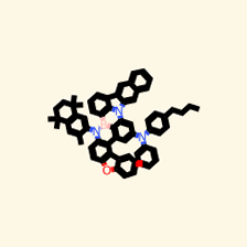 CCCCc1ccc(N(c2ccccc2)c2cc3c4c(c2)-n2c5cc6ccccc6cc5c5cccc(c52)B4N(c2cc4c(cc2C)C(C)(C)CCC4(C)C)c2ccc4oc5ccccc5c4c2-3)cc1